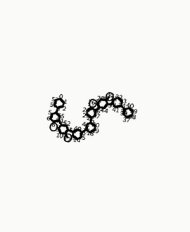 c1ccc(-c2ccc3oc4cc5oc6ccc(-c7cccc(-c8ccc9oc%10cc%11oc%12ccc(-c%13ccccc%13)cc%12c%11cc%10c9c8)c7)cc6c5cc4c3c2)cc1